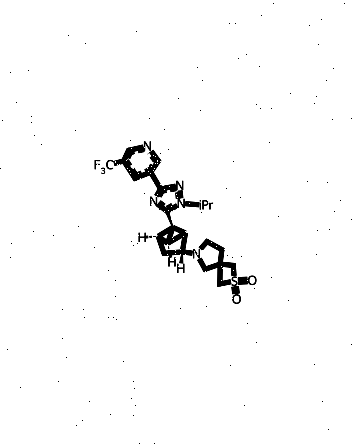 CC(C)n1nc(-c2cncc(C(F)(F)F)c2)nc1[C@]12C3[C@H](N4CCC5(C4)CS(=O)(=O)C5)C[C@@H]1[C@H]32